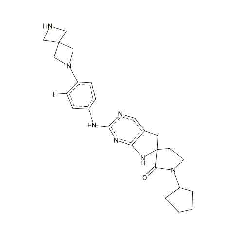 O=C1N(C2CCCC2)CCC12Cc1cnc(Nc3ccc(N4CC5(CNC5)C4)c(F)c3)nc1N2